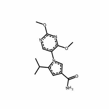 COc1ncc(-n2cc(C(N)=O)cc2C(C)C)c(OC)n1